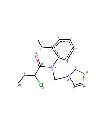 CCc1ccccc1N(CN1C=CSC1)C(=O)C(Cl)CC